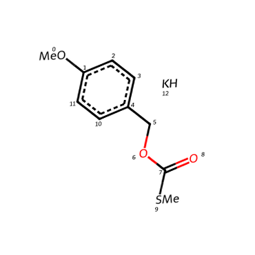 COc1ccc(COC(=O)SC)cc1.[KH]